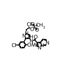 COc1ccc(Cl)cc1-c1nn(C[C@@H](OS(C)(=O)=O)C(F)(F)F)cc1NC(=O)c1cnn2cnccc12